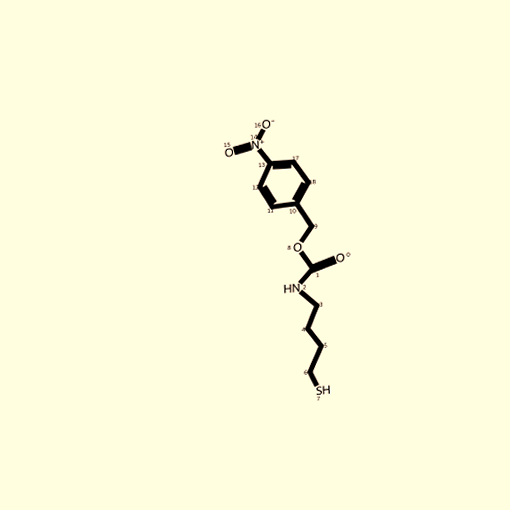 O=C(NCCCCS)OCc1ccc([N+](=O)[O-])cc1